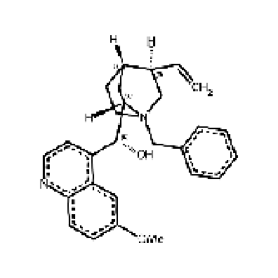 C=C[C@H]1C[N+]2(Cc3ccccc3)CC[C@H]1C[C@H]2[C@H](O)c1ccnc2ccc(OC)cc12